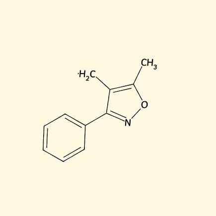 [CH2]c1c(-c2ccccc2)noc1C